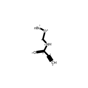 C#CC(=O)NCOCCCC